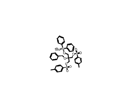 Cc1ccc(S(=O)(=O)OCC(CO[Si](c2ccccc2)(c2ccccc2)C(C)(C)C)(COS(=O)(=O)c2ccc(C)cc2)OCc2ccccc2)cc1